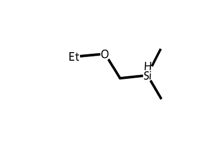 CCOC[SiH](C)C